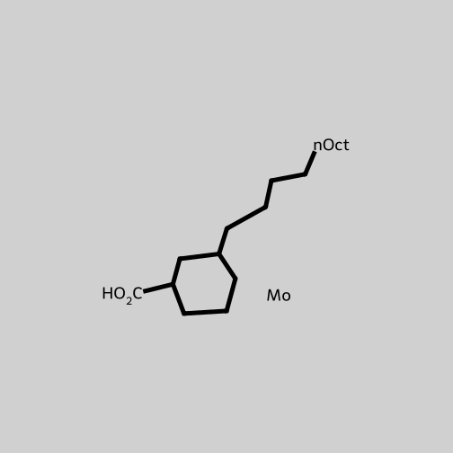 CCCCCCCCCCCCC1CCCC(C(=O)O)C1.[Mo]